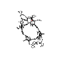 CCC1=C(CC)c2nc1cc1[nH]c(cc3nc(cc4[nH]c(c(CC)c4CC)c2-c2c(OC)cc(OC)cc2C(=O)OC)C(C)=C3CC(=O)OC)c(CC(=O)OC)c1C